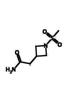 CS(=O)(=O)N1CC([CH]C(N)=O)C1